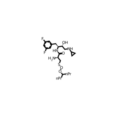 CCCC(CCC)OOSC[C@@H](N)C(=O)N[C@@H](Cc1cc(F)cc(F)c1)[C@H](O)CNC1CC1